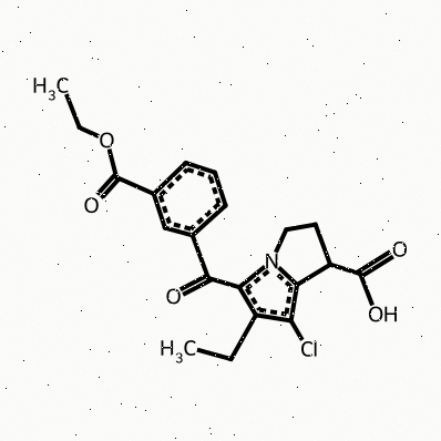 CCOC(=O)c1cccc(C(=O)c2c(CC)c(Cl)c3n2CCC3C(=O)O)c1